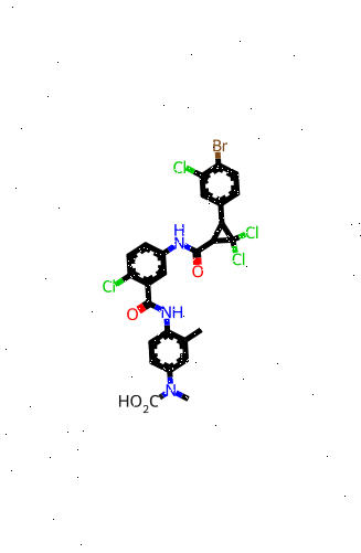 Cc1cc(N(C)C(=O)O)ccc1NC(=O)c1cc(NC(=O)C2C(c3ccc(Br)c(Cl)c3)C2(Cl)Cl)ccc1Cl